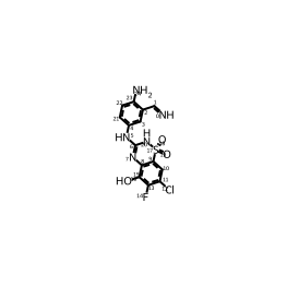 N=Cc1cc(NC2=Nc3c(cc(Cl)c(F)c3O)S(=O)(=O)N2)ccc1N